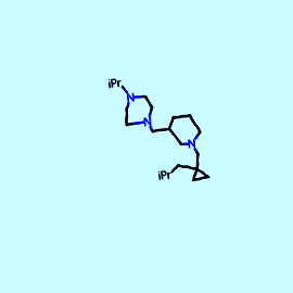 CC(C)CC1(CN2CCCC(CN3CCN(C(C)C)CC3)C2)CC1